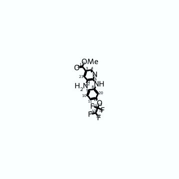 COC(=O)c1cnc(Nc2cccc(OC(F)(F)C(F)F)c2)c(N)c1